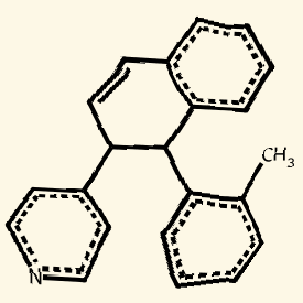 Cc1ccccc1C1c2ccccc2C=CC1c1ccncc1